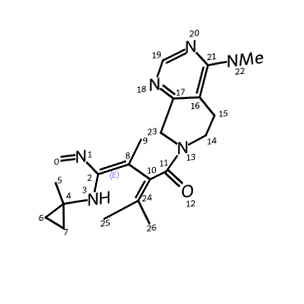 C=N/C(NC1(C)CC1)=C(\C)C(C(=O)N1CCc2c(ncnc2NC)C1)=C(C)C